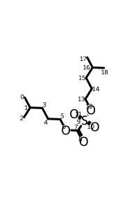 CC(C)CCCOC(=O)S(=O)(=O)OCCCC(C)C